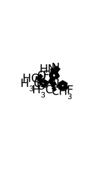 CC(C)c1c([C@H]2CO[C@](C)(C(=O)O)C2)c2c(F)c3[nH]ncc3cc2n1-c1ccc(F)cc1